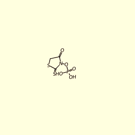 O=C1CSC(=S)N1OP(=O)(O)O